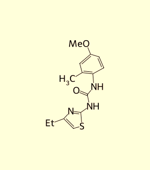 CCc1csc(NC(=O)Nc2ccc(OC)cc2C)n1